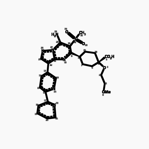 COCCO[C@]1(C(=O)O)CC[C@@H](c2nc3c(-c4ccc(-c5ccccn5)nc4)cnn3c(N)c2S(C)(=O)=O)CC1